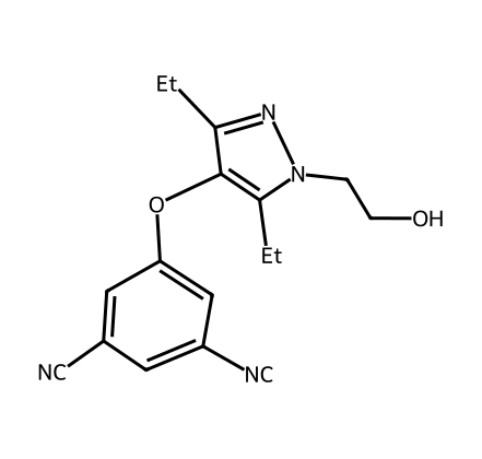 [C-]#[N+]c1cc(C#N)cc(Oc2c(CC)nn(CCO)c2CC)c1